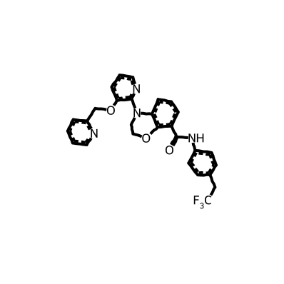 O=C(Nc1ccc(CC(F)(F)F)cc1)c1cccc2c1OCCN2c1ncccc1OCc1ccccn1